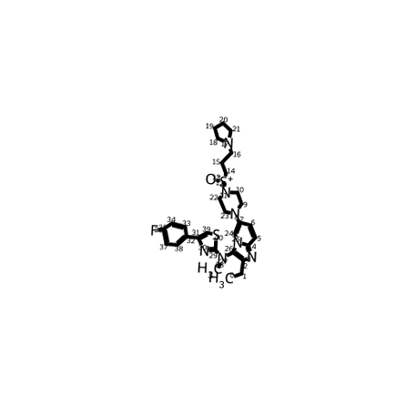 CCc1nc2ccc(N3CCN([S+]([O-])CCCN4CCCC4)CC3)cn2c1N(C)c1nc(-c2ccc(F)cc2)cs1